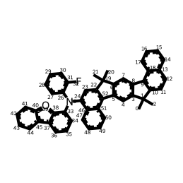 CC1(C)c2cc3c(cc2-c2c1ccc1ccccc21)C(C)(C)c1cc(N(c2ccccc2F)c2cccc4c2oc2ccccc24)c2ccccc2c1-3